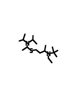 CCN(C(C)CCSC(C)N(C(C)C)C(C)C)C(C)(C)C